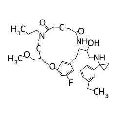 CCCN1CCC(COC)COc2cc(F)cc(c2)CC(C(O)CNC2(c3cccc(CC)c3)CC2)NC(=O)CCCC1=O